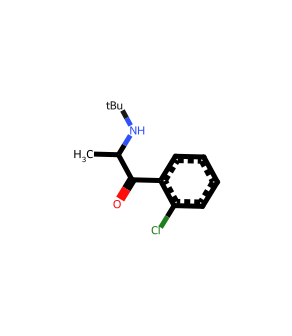 CC(NC(C)(C)C)C(=O)c1ccccc1Cl